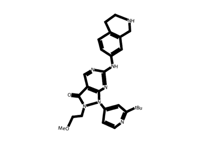 COCCn1c(=O)c2cnc(Nc3ccc4c(c3)CNCC4)nc2n1-c1ccnc(C(C)(C)C)c1